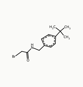 CC(C)(C)c1ccc(CNC(=O)CBr)cc1